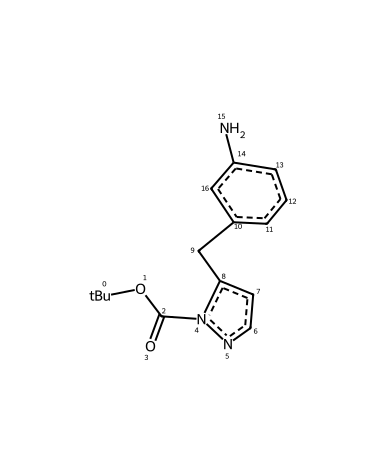 CC(C)(C)OC(=O)n1nccc1Cc1cccc(N)c1